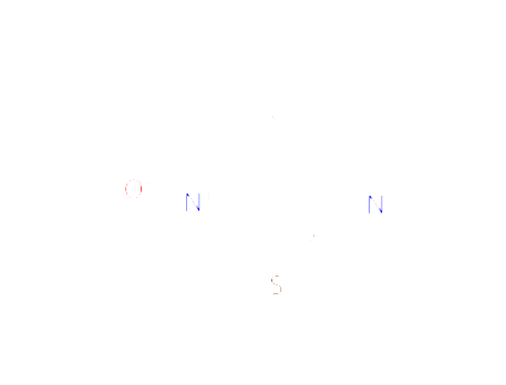 [O-][n+]1csc2ncccc21